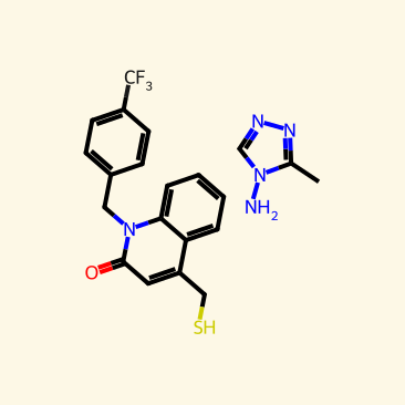 Cc1nncn1N.O=c1cc(CS)c2ccccc2n1Cc1ccc(C(F)(F)F)cc1